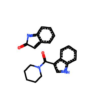 O=C(c1c[nH]c2ccccc12)N1CCCCC1.O=C1C=c2ccccc2=N1